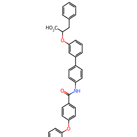 O=C(Nc1ccc(-c2cccc(OC(Cc3ccccc3)C(=O)O)c2)cc1)c1ccc(Oc2ccccc2)cc1